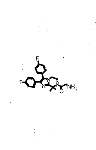 CC1(C)c2nc(-c3ccc(F)cc3)c(-c3ccc(F)cc3)n2CCN1C(=O)CN